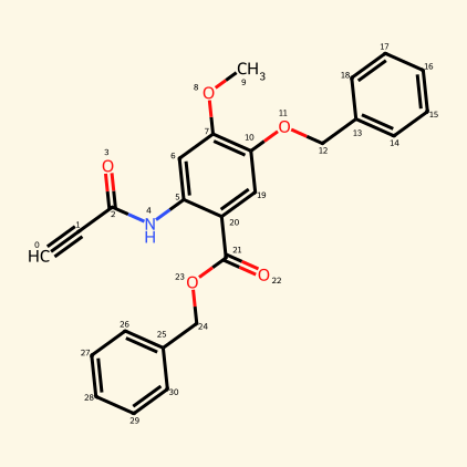 C#CC(=O)Nc1cc(OC)c(OCc2ccccc2)cc1C(=O)OCc1ccccc1